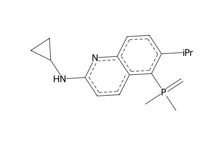 C=P(C)(C)c1c(C(C)C)ccc2nc(NC3CC3)ccc12